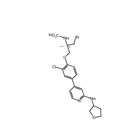 CC(C)C[C@@](C)(COc1ccc(-c2ccnc(NC3CCOC3)c2)cc1Cl)NC(=O)O